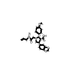 C=CCNC(=O)CN1C[C@H](c2ccc3c(c2)OCO3)[C@H](C(=O)O)[C@H]1c1ccc(OC)cc1